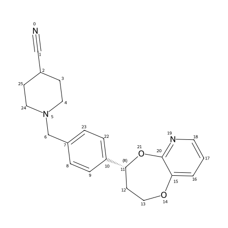 N#CC1CCN(Cc2ccc([C@H]3CCOc4cccnc4O3)cc2)CC1